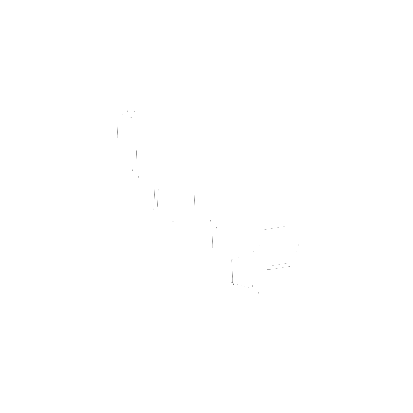 COCCNc1ccc(N/C=C2/C(=O)Nc3cccc(F)c32)cc1C